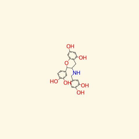 Oc1cc(O)c2c(c1)OC(c1ccc(O)c(O)c1)C(NCc1ccc(O)c(O)c1)C2